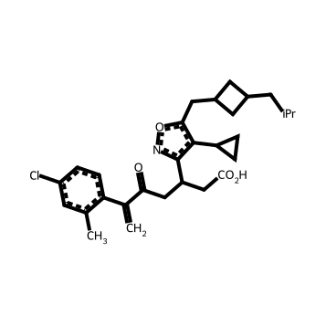 C=C(C(=O)CC(CC(=O)O)c1noc(CC2CC(CC(C)C)C2)c1C1CC1)c1ccc(Cl)cc1C